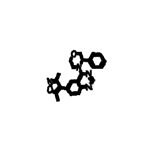 Cc1noc(C)c1-c1ccc2ncnc(N3CCOCC3c3ccccc3)c2c1